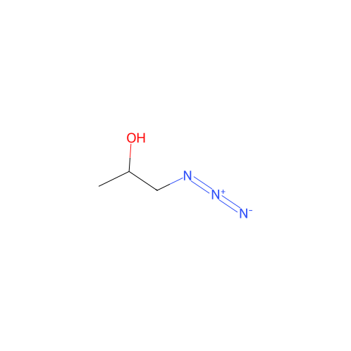 CC(O)CN=[N+]=[N-]